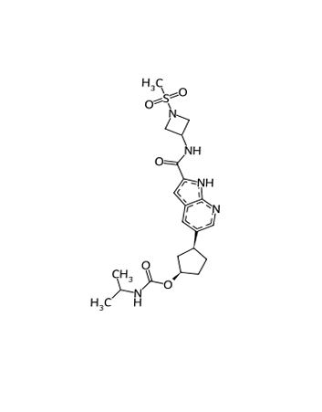 CC(C)NC(=O)O[C@@H]1CC[C@H](c2cnc3[nH]c(C(=O)NC4CN(S(C)(=O)=O)C4)cc3c2)C1